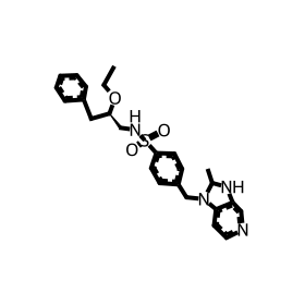 CCO[C@@H](CNS(=O)(=O)c1ccc(CN2c3ccncc3NC2C)cc1)Cc1ccccc1